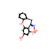 O/N=C1/Cc2ccccc2Oc2cc(O)cc(O)c21